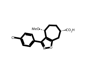 CO[C@@H]1CC[C@H](C(=O)O)Cc2onc(-c3ccc(Cl)cc3)c21